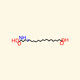 NC(CCCCCCCCCCCCCCCCCCC(=O)O)C(=O)O